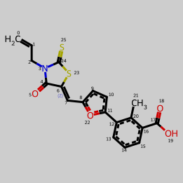 C=CCN1C(=O)/C(=C/c2ccc(-c3cccc(C(=O)O)c3C)o2)SC1=S